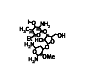 CC[C@@H]1O[C@H](O[C@@H]2C(CO)OC(OC3CC(N)OC(N)[C@H]3OC)[C@@H]2O)[C@H](N)C(OI)[C@@H]1C